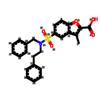 Cc1c(C(=O)O)oc2ccc(S(=O)(=O)N(CCc3ccccc3)Cc3ccccc3)cc12